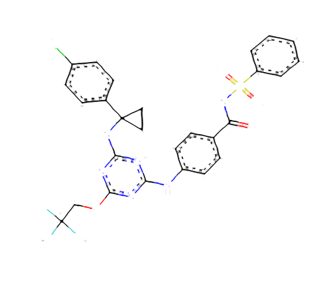 O=C(NS(=O)(=O)c1ccccc1)c1ccc(Nc2nc(NC3(c4ccc(Cl)cc4)CC3)nc(OCC(F)(F)F)n2)cc1